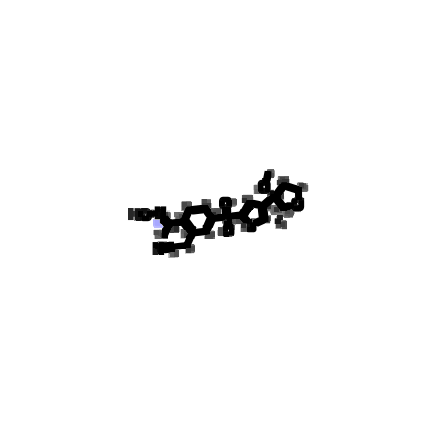 CO[C@]1(c2csc(S(=O)(=O)c3ccc(/C(C)=N/O)c(CC#N)c3)c2)CCO[C@@H]1C